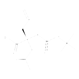 C=CC[C@@](CC(=O)OC(C)(C)C)(CC(C)C)C(=O)O